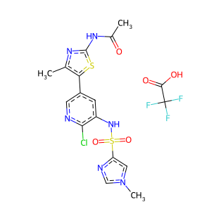 CC(=O)Nc1nc(C)c(-c2cnc(Cl)c(NS(=O)(=O)c3cn(C)cn3)c2)s1.O=C(O)C(F)(F)F